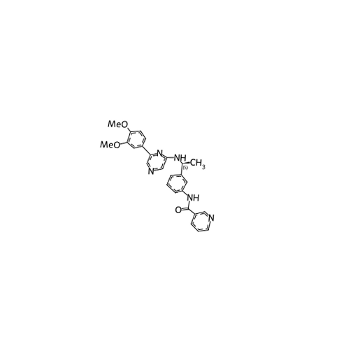 COc1ccc(-c2cncc(N[C@@H](C)c3cccc(NC(=O)c4cccnc4)c3)n2)cc1OC